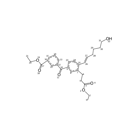 CCOC(=O)CCc1cc(C(=O)c2cccc(C(=O)OCC)c2)ccc1C=CCCCCO